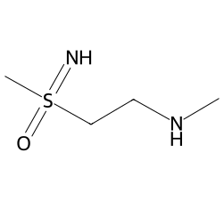 CNCCS(C)(=N)=O